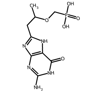 CC(Cc1nc2nc(N)[nH]c(=O)c2[nH]1)OCP(=O)(O)O